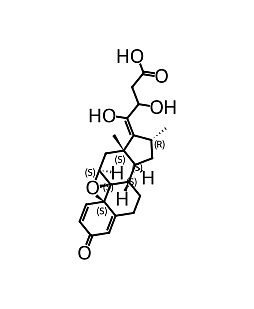 C[C@@H]1C[C@H]2[C@@H]3CCC4=CC(=O)C=C[C@]4(C)[C@@]34O[C@H]4C[C@]2(C)C1=C(O)C(O)CC(=O)O